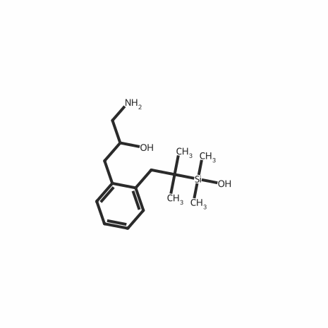 CC(C)(Cc1ccccc1CC(O)CN)[Si](C)(C)O